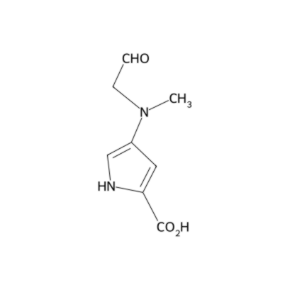 CN(CC=O)c1c[nH]c(C(=O)O)c1